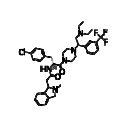 CCN(CC)CC(c1cccc(C(F)(F)F)c1)N1CCN(C(=O)[C@@H](Cc2ccc(Cl)cc2)NC(=O)CC2c3ccccc3CN2C)CC1